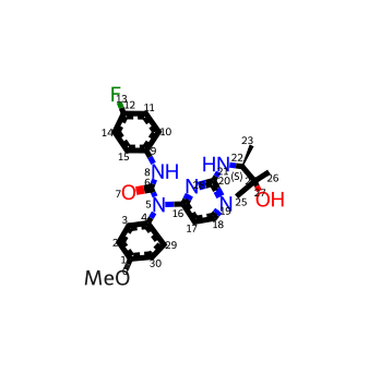 COc1ccc(N(C(=O)Nc2ccc(F)cc2)c2ccnc(N[C@@H](C)C(C)(C)O)n2)cc1